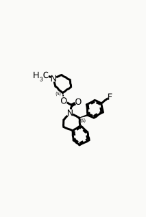 CN1CCC[C@H](OC(=O)N2CCc3ccccc3[C@@H]2c2ccc(F)cc2)C1